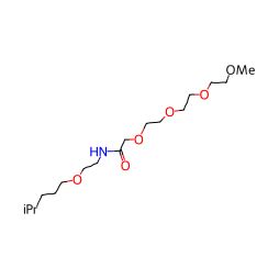 COCCOCCOCCOCC(=O)NCCOCCCC(C)C